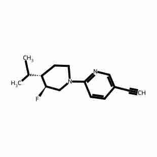 C#Cc1ccc(N2CC[C@@H](C(C)C)[C@H](F)C2)nc1